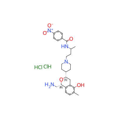 Cc1ccc2c(c1O)C[C@@H](C1CCN(CCC(C)NC(=O)c3ccc([N+](=O)[O-])cc3)CC1)O[C@H]2CN.Cl.Cl